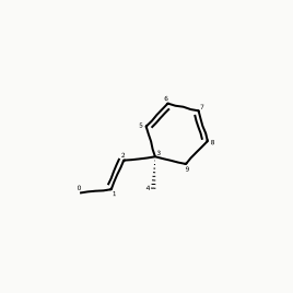 C/C=C/[C@@]1(C)C=CC=CC1